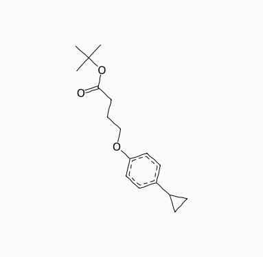 CC(C)(C)OC(=O)CCCOc1ccc(C2CC2)cc1